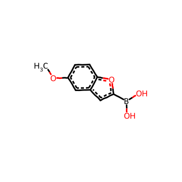 COc1ccc2oc(B(O)O)cc2c1